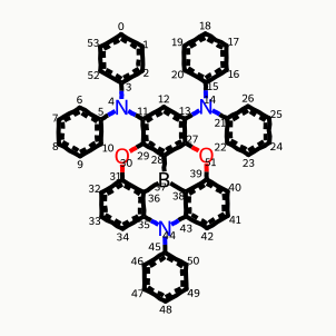 c1ccc(N(c2ccccc2)c2cc(N(c3ccccc3)c3ccccc3)c3c4c2Oc2cccc5c2B4c2c(cccc2N5c2ccccc2)O3)cc1